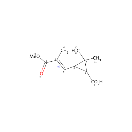 COC(=O)/C(C)=C/C1C(C(=O)O)C1(C)C